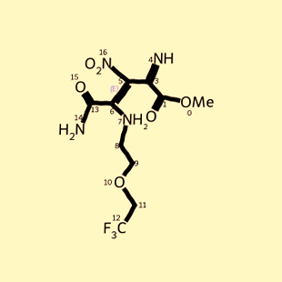 COC(=O)C(=N)/C(=C(\NCCOCC(F)(F)F)C(N)=O)[N+](=O)[O-]